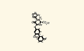 COc1cc(C[C@H](N[C@@H](C)C(=O)O)C(=O)Nc2nnn[nH]2)ccc1-c1cccc(F)c1